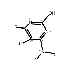 Cc1nc(O)nc(N(C)C)c1Cl